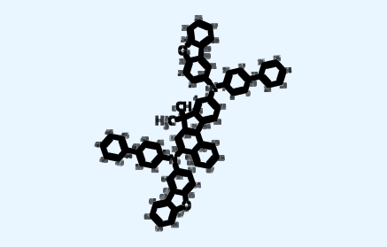 CC1(C)c2cc(N(c3ccc(-c4ccccc4)cc3)c3ccc4oc5ccccc5c4c3)ccc2-c2c1cc(N(c1ccc(-c3ccccc3)cc1)c1ccc3oc4ccccc4c3c1)c1ccccc21